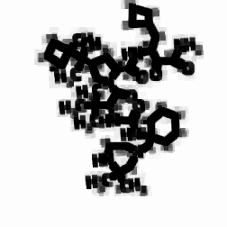 CC1(C)CN(CC2(NC(=O)N[C@@H](C(=O)N3C[C@@H](C(C)(C)C4(C)CCC4)C[C@H]3C(=O)NC(CC3CCC3)C(=O)C(N)=O)C(C)(C)C)CCCCC2)CCN1